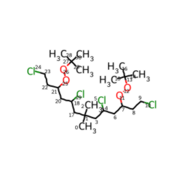 CC(C)(CC(Cl)CC(CCCl)OOC(C)(C)C)CC(Cl)CC(CCCl)OOC(C)(C)C